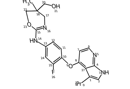 CC(C)c1c[nH]c2nccc(Oc3ccc(NC4=NCC(C)(CO)CO4)cc3F)c12